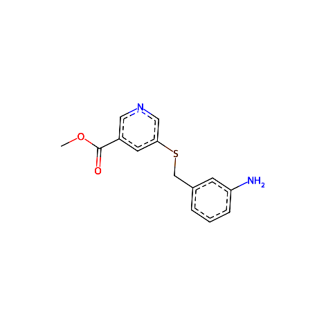 COC(=O)c1cncc(SCc2cccc(N)c2)c1